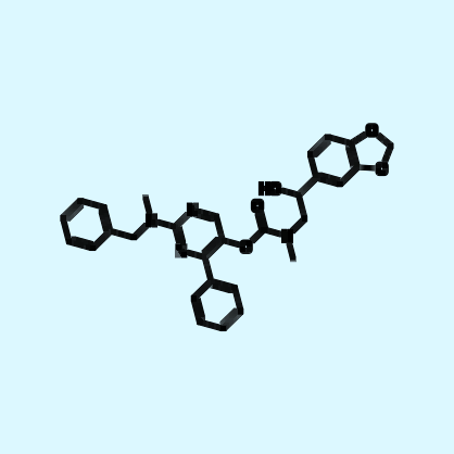 CN(CC(O)c1ccc2c(c1)OCO2)C(=O)Oc1cnc(N(C)Cc2ccccc2)nc1-c1ccccc1